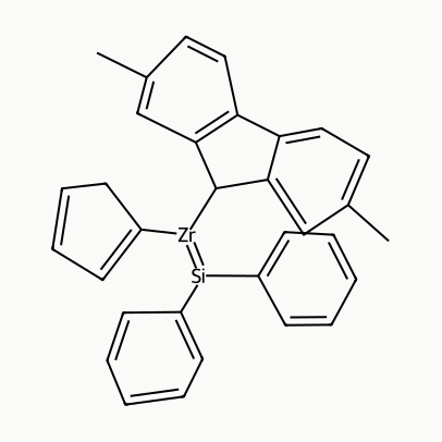 Cc1ccc2c(c1)[CH]([Zr]([C]1=CC=CC1)=[Si](c1ccccc1)c1ccccc1)c1cc(C)ccc1-2